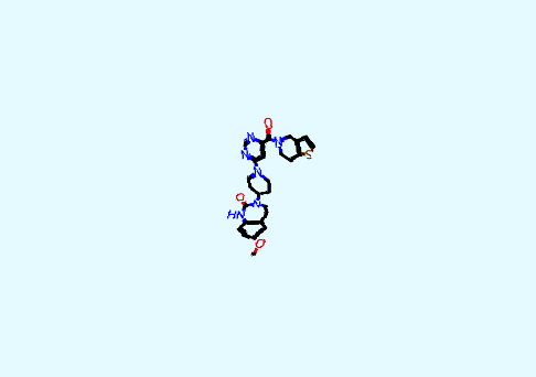 COc1ccc2c(c1)CCN(C1CCN(c3cc(C(=O)N4CCc5sccc5C4)ncn3)CC1)C(=O)N2